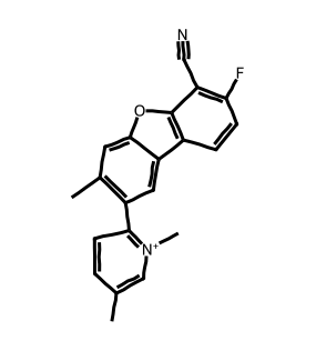 Cc1ccc(-c2cc3c(cc2C)oc2c(C#N)c(F)ccc23)[n+](C)c1